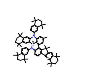 Cc1cc(-c2c(Nc3ccc4c(c3)C(C)(C)CCC4(C)C)ccc3c2C(C)(C)c2cc4c(cc2-3)C(C)(C)CCC4(C)C)c2c(c1)N(c1ccc3c(c1)C(C)(C)CCC3(C)C)c1cc3c(cc1B2)C(C)(C)CCC3(C)C